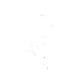 CN(CCO)CCCOc1ccc2c(c1)S(=O)(=O)N=C2c1ccc(Br)cc1